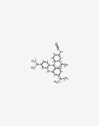 CN(C)c1ccc2c(c1)Oc1cc(N(C)C)ccc1C2c1ccc(SC#N)cc1C(=O)O